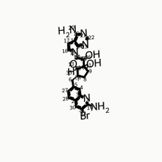 Nc1nc2cc(C[C@@H]3CC[C@@]4(O)[C@@H]3O[C@@H](n3ccc5c(N)ncnc53)[C@@H]4O)ccc2cc1Br